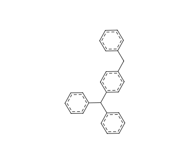 c1ccc(Cc2ccc(C(c3ccccc3)c3ccccc3)cc2)cc1